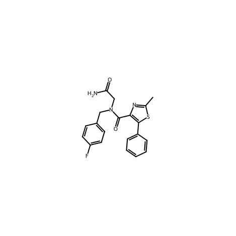 Cc1nc(C(=O)N(CC(N)=O)Cc2ccc(F)cc2)c(-c2ccccc2)s1